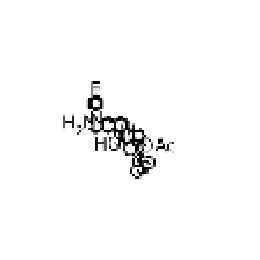 C=CC1=C(N(N)c2ccc(F)cc2)C=C2CCC3[C@]4(C)CCC(OC(C)=O)(C(=O)COS(C)(=O)=O)C4(C)C[C@H](O)[C@]3(C)C2(C)C1